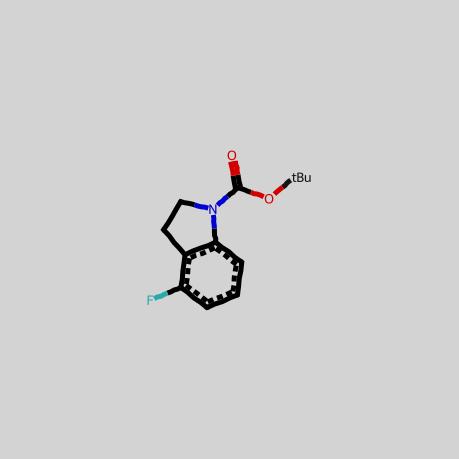 CC(C)(C)OC(=O)N1CCc2c(F)cccc21